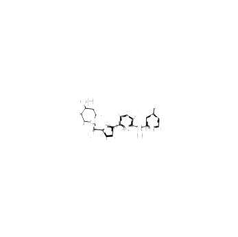 Cc1ccnc(Nc2cccc(-c3ccc(C(=O)N4CCC(O)CC4)s3)n2)c1